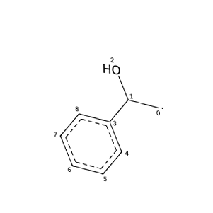 [CH2]C(O)c1ccccc1